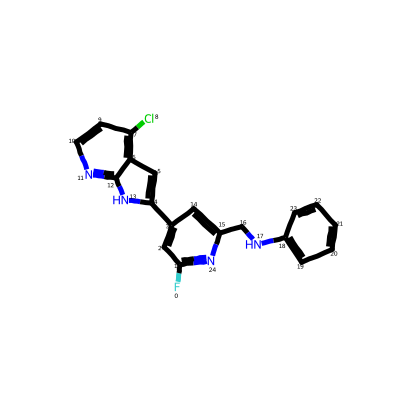 Fc1cc(-c2cc3c(Cl)ccnc3[nH]2)cc(CNc2ccccc2)n1